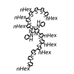 CCCCCCc1ccc(-c2ccc(-c3ccc(-c4sc(-c5sc(-c6sc(-c7cc(Nc8ccccc8)c8nc(-c9cc(CCCCCC)c(-c%10cc(CCCCCC)c(-c%11cc(CCCCCC)c(-c%12ccc(-c%13ccc(-c%14ccc(CCCCCC)s%14)s%13)s%12)s%11)s%10)s9)nc(Nc9ccccc9)c8n7)cc6CCCCCC)cc5CCCCCC)cc4CCCCCC)s3)s2)s1